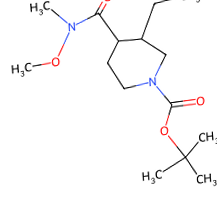 CCC1CN(C(=O)OC(C)(C)C)CCC1C(=O)N(C)OC